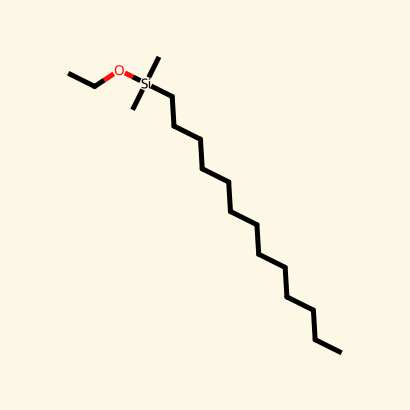 CCCCCCCCCCCCC[Si](C)(C)OCC